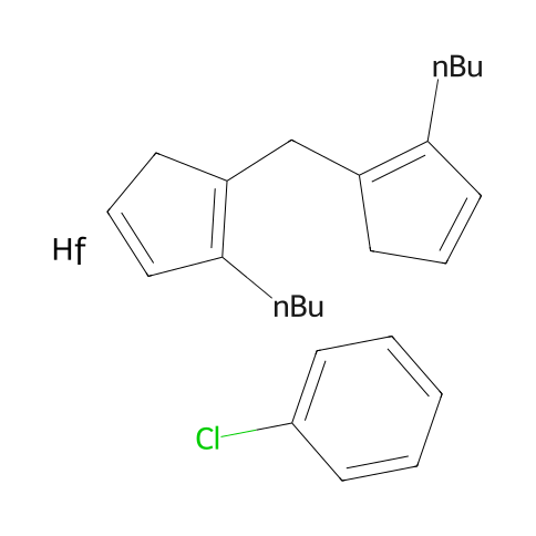 CCCCC1=C(CC2=C(CCCC)C=CC2)CC=C1.Clc1ccccc1.[Hf]